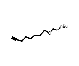 C#CCCCCCCOCOCCCC